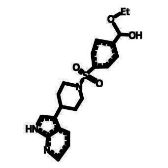 CCOC(O)c1ccc(S(=O)(=O)N2CCC(c3c[nH]c4ncccc34)CC2)cc1